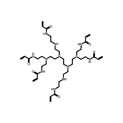 C=CC(=O)NCCNCCN(CCN(CCNC(=O)C=C)CCNC(=O)C=C)CCN(CCNCCNC(=O)C=C)CCN(CCNC(=O)C=C)CCNC(=O)C=C